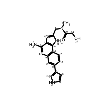 CN(Cc1nc2c(N)nc3cc(-c4cc[nH]n4)ccc3c2[nH]1)C(=O)CO